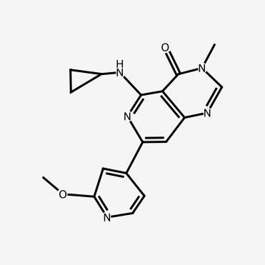 COc1cc(-c2cc3ncn(C)c(=O)c3c(NC3CC3)n2)ccn1